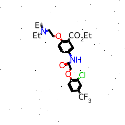 CCOC(=O)c1cc(NC(=O)COc2ccc(C(F)(F)F)cc2Cl)ccc1OCCN(CC)CC